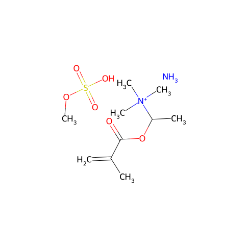 C=C(C)C(=O)OC(C)[N+](C)(C)C.COS(=O)(=O)O.N